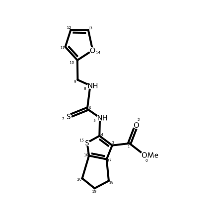 COC(=O)c1c(NC(=S)NCc2ccco2)sc2c1CCC2